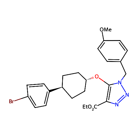 CCOC(=O)c1nnn(Cc2ccc(OC)cc2)c1O[C@H]1CC[C@H](c2ccc(Br)cc2)CC1